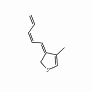 C=C/C=C\C=C1/CSC=C1C